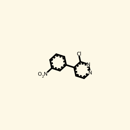 O=[N+]([O-])c1cccc(-c2ccnnc2Cl)c1